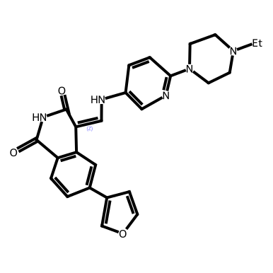 CCN1CCN(c2ccc(N/C=C3\C(=O)NC(=O)c4ccc(-c5ccoc5)cc43)cn2)CC1